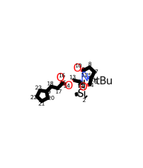 C[SiH](C)OC[C@]1(C(C)(C)C)CCC(=O)N1CCOC(=O)CCC1CCCC1